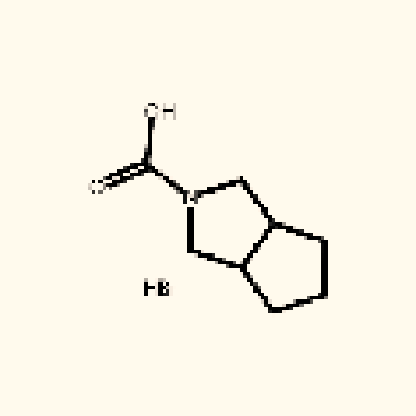 Br.O=C(O)N1CC2CCCC2C1